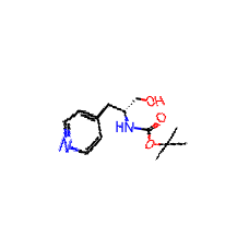 CC(C)(C)OC(=O)N[C@@H](CO)Cc1ccncc1